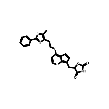 Cc1oc(-c2ccccc2)nc1CCOc1ccsc2c(CC3SC(=O)NC3=O)ccc1-2